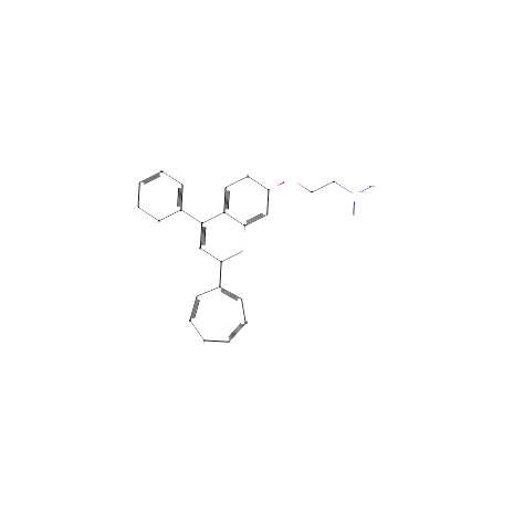 CCN(CC)CCO[C@H]1C=CC(/C(=C\C(C)C2=CC=CCC=C2)C2=CC=CCC2)=CC1